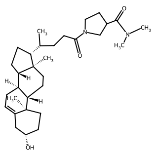 CC(CCC(=O)N1CCC(C(=O)N(C)C)C1)[C@H]1CC[C@H]2[C@@H]3CC=C4C[C@@H](O)CC[C@]4(C)[C@H]3CC[C@]12C